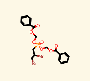 O=C(OCOP(=O)(CC(Br)CBr)OCOC(=O)c1ccccc1)c1ccccc1